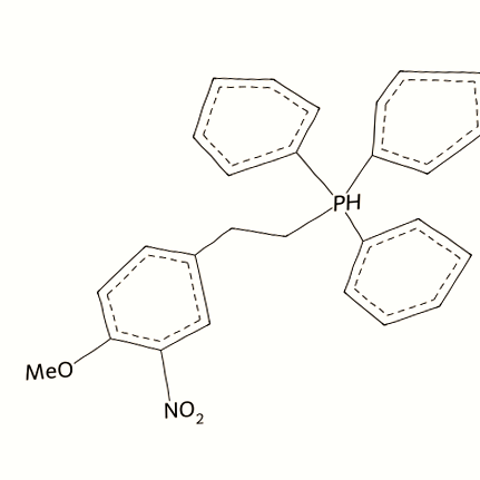 COc1ccc(CC[PH](c2ccccc2)(c2ccccc2)c2ccccc2)cc1[N+](=O)[O-]